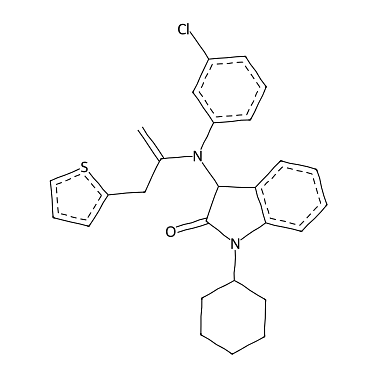 C=C(Cc1cccs1)N(c1cccc(Cl)c1)C1C(=O)N(C2CCCCC2)c2ccccc21